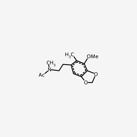 COc1c(C)c(CCN(C)C(C)=O)cc2c1OCO2